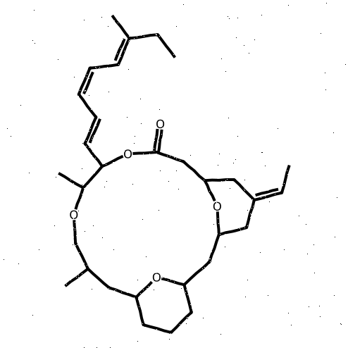 C/C=C1\CC2CC(=O)OC(/C=C/C=C\C=C(/C)CC)C(C)OCC(C)CC3CCCC(CC(C1)O2)O3